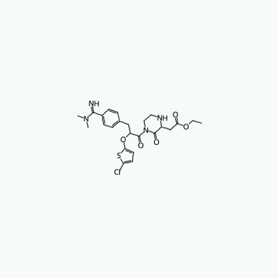 CCOC(=O)CC1NCCN(C(=O)C(Cc2ccc(C(=N)N(C)C)cc2)Oc2ccc(Cl)s2)C1=O